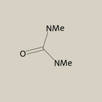 [CH]NC(=O)N[CH]